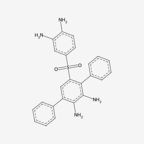 Nc1ccc(S(=O)(=O)c2cc(-c3ccccc3)c(N)c(N)c2-c2ccccc2)cc1N